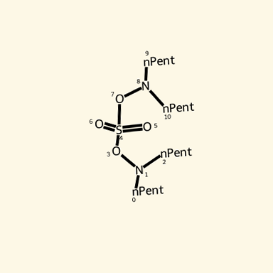 CCCCCN(CCCCC)OS(=O)(=O)ON(CCCCC)CCCCC